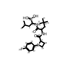 CC(C)CC(NC(=O)C(CC(C)(C)C)NC(=O)C1CCN1c1ccc(F)cc1)B(O)O